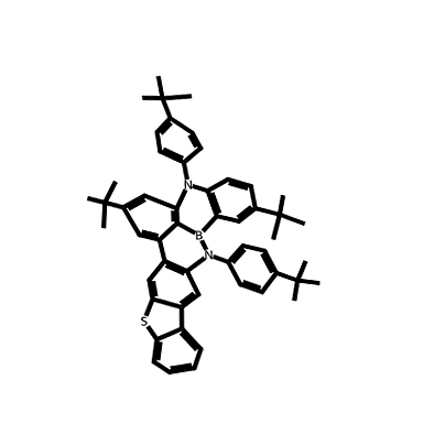 CC(C)(C)c1ccc(N2B3c4cc(C(C)(C)C)ccc4N(c4ccc(C(C)(C)C)cc4)c4cc(C(C)(C)C)cc(c43)-c3cc4sc5ccccc5c4cc32)cc1